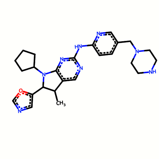 CC1c2cnc(Nc3ccc(CN4CCNCC4)cn3)nc2N(C2CCCC2)C1c1cnco1